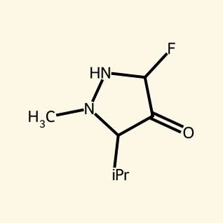 CC(C)C1C(=O)C(F)NN1C